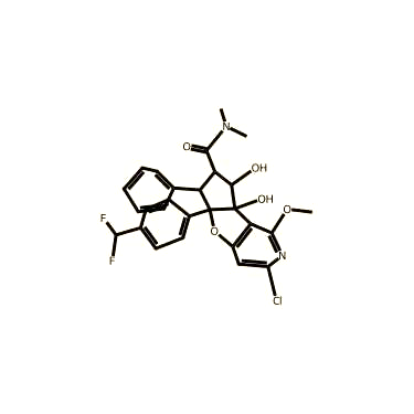 COc1nc(Cl)cc2c1C1(O)C(O)C(C(=O)N(C)C)C(c3ccccc3)C1(c1ccc(C(F)F)cc1)O2